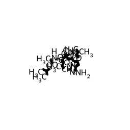 CCC(CC)COC(=O)[C@H](C)NCOCC(C#N)(OC)[C@@H](OC(=O)C(C)C)[C@@H](OC(=O)C(C)C)c1ccc2c(N)ncnn12